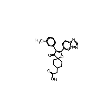 Cc1cccc(C2=C(c3ccc4ncnn4c3)OC3(CCC(CC(=O)O)CC3)C2=O)c1